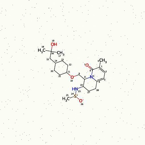 Cc1ccc2n(c1=O)C(COC1CCC(CC(C)(C)O)CC1)C(N[S+](C)[O-])CC2